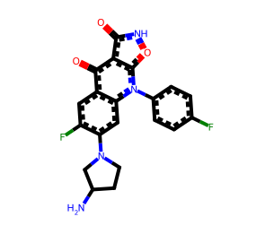 NC1CCN(c2cc3c(cc2F)c(=O)c2c(=O)[nH]oc2n3-c2ccc(F)cc2)C1